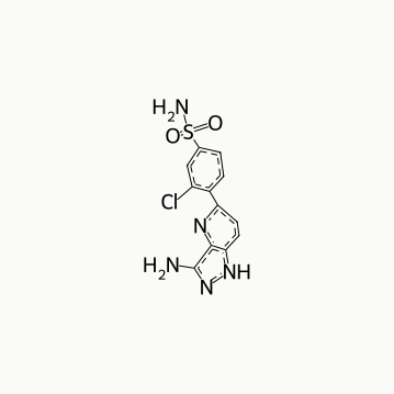 Nc1n[nH]c2ccc(-c3ccc(S(N)(=O)=O)cc3Cl)nc12